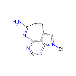 CCn1cc2c3c(ncnc31)N=C(N)C=C2